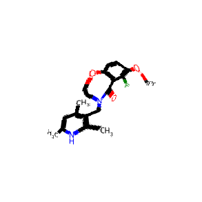 CC1=CC(C)=C(CN2CCOc3ccc(OC(C)C)c(F)c3C2=O)C(C)N1